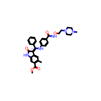 COC(=O)c1cc2c(cc1C)/C(=C(\Nc1ccc(C(=O)NOCCN3CCN(C)CC3)cc1)c1ccccc1)C(=O)N2